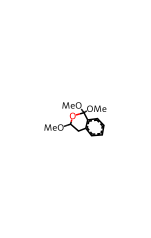 COC1Cc2ccccc2C(OC)(OC)O1